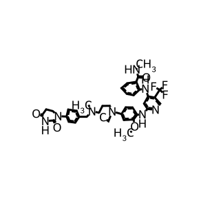 CNC(=O)c1ccccc1Nc1cc(Nc2ccc(N3CCC(N(C)Cc4ccc(N5CCC(=O)NC5=O)cc4)CC3)cc2OC)ncc1C(F)(F)F